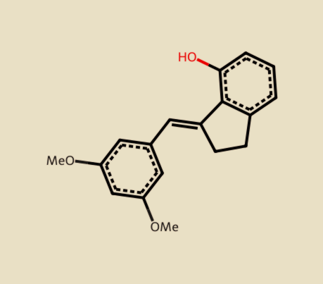 COc1cc(C=C2CCc3cccc(O)c32)cc(OC)c1